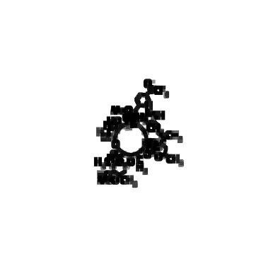 CC[C@H]1OC(=O)[C@H](C)[C@@H](O[C@H]2C[C@@](C)(OC)[C@@H](O)[C@H](C)O2)[C@H](C)[C@@H](O[C@@H]2O[C@H](C)C[C@H](N(C)CCC3=CN([C@H](CF)[C@H](OC)c4ccc([S+]([O-])C(F)(F)F)cc4)NN3)[C@H]2O)[C@](C)(O)C[C@@H](C)CN(C)[C@H](C)[C@@H](O)[C@]1(C)O